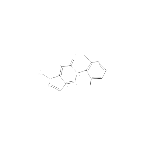 Cc1cccc(F)c1-n1nc2cnn(Br)c2cc1=O